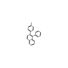 Cc1ccc(-c2ccc3ccccc3c2-c2ccccc2)cc1